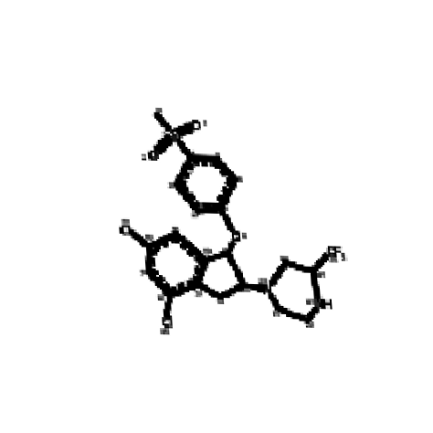 CS(=O)(=O)c1ccc(O[C@@H]2c3cc(Cl)cc(Cl)c3C[C@@H]2N2CCNC(C(F)(F)F)C2)cc1